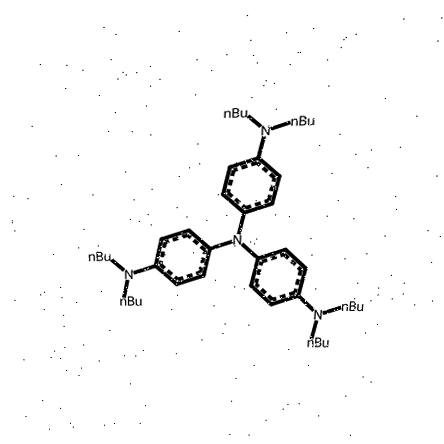 CCCCN(CCCC)c1ccc(N(c2ccc(N(CCCC)CCCC)cc2)c2ccc(N(CCCC)CCCC)cc2)cc1